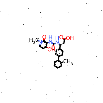 Cc1ccccc1-c1ccc([C@H](CC(=O)O)NC(=O)Nc2c(O)ccn(C)c2=O)cc1